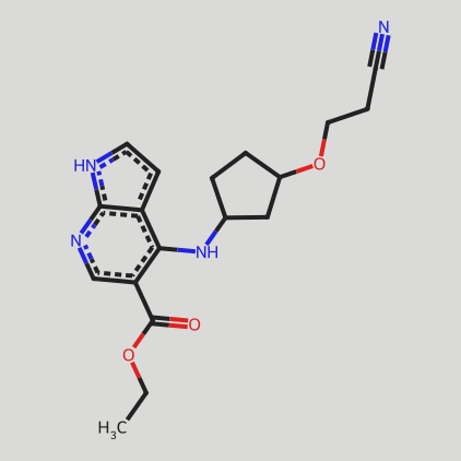 CCOC(=O)c1cnc2[nH]ccc2c1NC1CCC(OCCC#N)C1